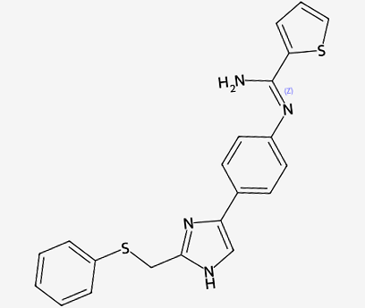 N/C(=N\c1ccc(-c2c[nH]c(CSc3ccccc3)n2)cc1)c1cccs1